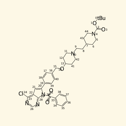 CC(C)(C)OC(=O)N1CCC(CCN2CCC(OCc3ccc(-c4cc5c(Cl)ncnc5n4S(=O)(=O)c4ccccc4)cc3)CC2)CC1